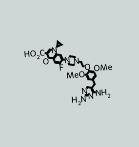 COc1cc(Cc2cnc(N)nc2N)cc(OC)c1OCCN1CCN(c2cc3c(cc2F)c(=O)c(C(=O)O)cn3C2CC2)CC1